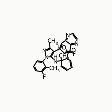 Cc1nn(-c2cccc(F)c2C)c(NC2(C)C=CC=CC2C(=O)O)c1-c1cc(F)c2nccnc2c1